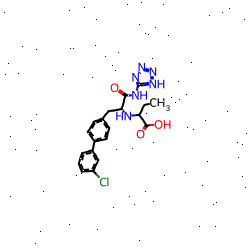 CCC(NC(Cc1ccc(-c2cccc(Cl)c2)cc1)C(=O)Nc1nnn[nH]1)C(=O)O